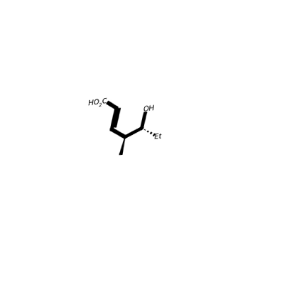 CC[C@@H](O)[C@@H](C)/C=C/C(=O)O